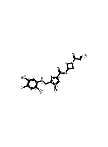 C=CC(=O)N1CC(NC(=O)c2cn(C)c(CNc3cc(C(C)(C)C)c(Cl)cc3O)n2)C1